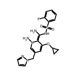 N/C(NS(=O)(=O)c1ccccc1F)=C1/C(OC2CC2)=CC(Cn2cccn2)=CN1N